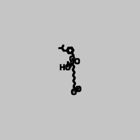 CC(C)Cc1cccc(COC(=O)C(CCCCCCCC[N+](=O)[O-])=NO)c1